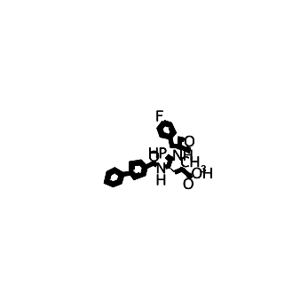 CC(C[C@H](NC(=O)c1ccc(-c2ccccc2)cc1)C(=P)NC1(Cc2ccc(F)cc2)COC1)C(=O)O